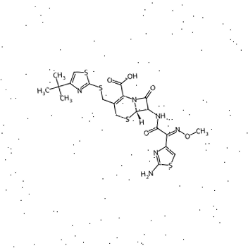 CON=C(C(=O)NC1C(=O)N2C(C(=O)O)=C(CSc3nc(C(C)(C)C)cs3)CS[C@@H]12)c1csc(N)n1